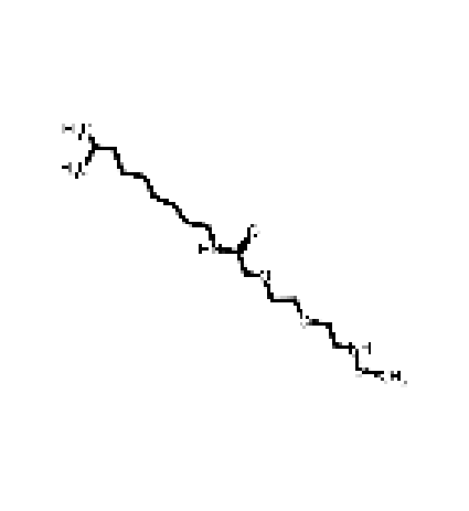 CSNCCOCCOCC(=O)NCCCCCCCC(C)C